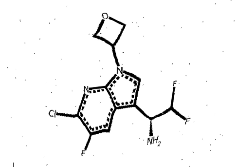 N[C@@H](c1cn(C2COC2)c2nc(Cl)c(F)cc12)C(F)F